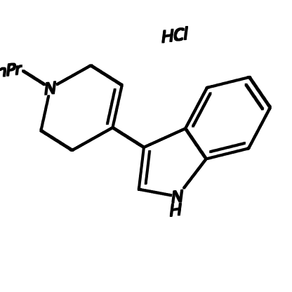 CCCN1CC=C(c2c[nH]c3ccccc23)CC1.Cl